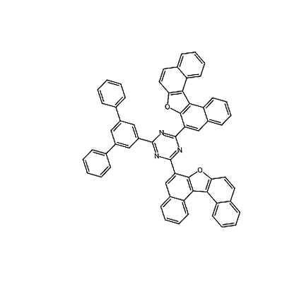 c1ccc(-c2cc(-c3ccccc3)cc(-c3nc(-c4cc5ccccc5c5c4oc4ccc6ccccc6c45)nc(-c4cc5ccccc5c5c4oc4ccc6ccccc6c45)n3)c2)cc1